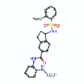 COc1ccccc1S(=O)(=O)NC1CCc2cc(C(=O)Nc3ccccc3NC(=O)O)ccc21